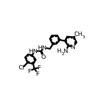 Cc1cnc(N)c(-c2cccc(CNC(=O)Nc3ccc(Cl)c(C(F)(F)F)c3)c2)c1